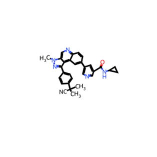 Cn1nc(-c2ccc(C(C)(C)C#N)cc2)c2c3cc(-c4cncc(C(=O)NC5CC5)c4)ccc3ncc21